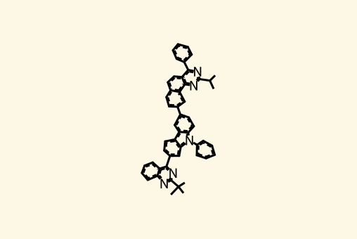 CC(C)c1nc(-c2ccccc2)c2ccc3ccc(-c4ccc5c(c4)c4ccc(-c6nc(C(C)(C)C)nc7ccccc67)cc4n5-c4ccccc4)cc3c2n1